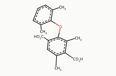 Cc1cccc(C)c1Oc1c(C(=O)O)cc(C)c(C(=O)O)c1C